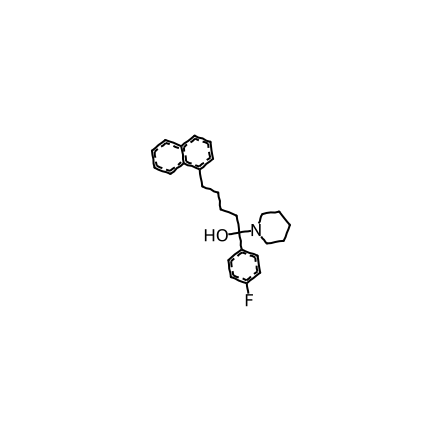 OC(CCCCc1cccc2ccccc12)(c1ccc(F)cc1)N1CCCCC1